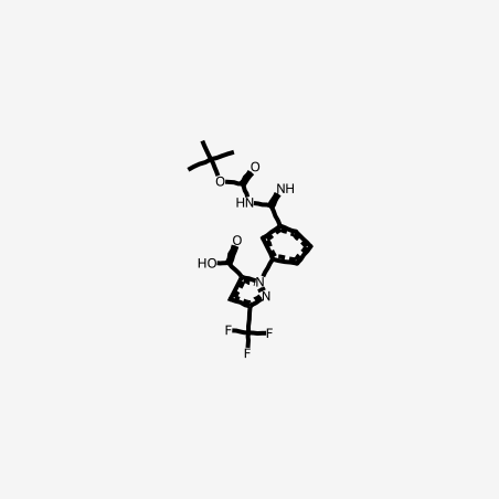 CC(C)(C)OC(=O)NC(=N)c1cccc(-n2nc(C(F)(F)F)cc2C(=O)O)c1